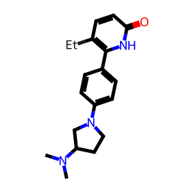 CCc1ccc(=O)[nH]c1-c1ccc(N2CCC(N(C)C)C2)cc1